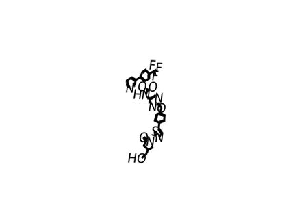 O=C(Nc1cnc(Oc2ccc(-c3cnc(N4CC(CO)CC4=O)s3)cc2)nc1)Oc1cc(C(F)(F)F)ccc1-c1cccnc1